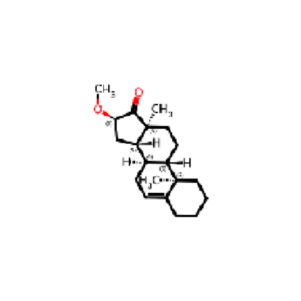 CO[C@@H]1C[C@H]2[C@@H]3CC=C4CCCC[C@]4(C)[C@H]3CC[C@]2(C)C1=O